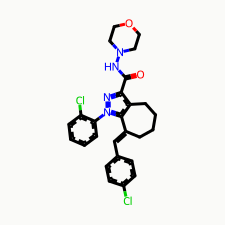 O=C(NN1CCOCC1)c1nn(-c2ccccc2Cl)c2c1CCCCC2=Cc1ccc(Cl)cc1